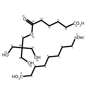 CCCCCCCCCCCCCCCCCC(=O)O.O=C(O)CCCCC(=O)OCC(CO)(CO)CO